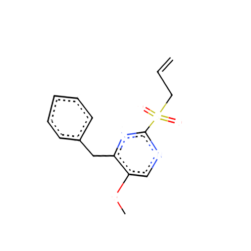 C=CCS(=O)(=O)c1ncc(OC)c(Cc2ccccc2)n1